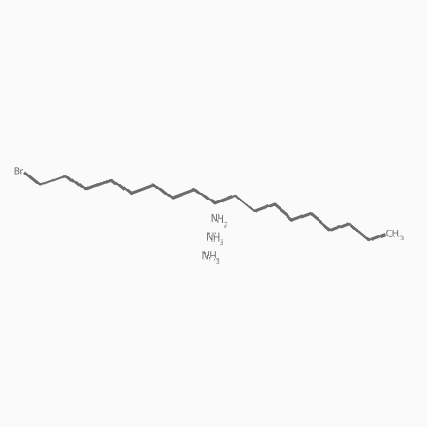 CCCCCCCCCCCCCCCCCCBr.N.N.N